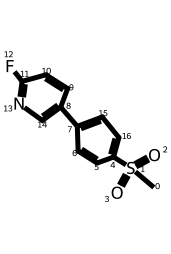 CS(=O)(=O)c1ccc(-c2ccc(F)nc2)cc1